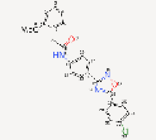 COc1ccccc1CC(=O)Nc1ccc(-c2noc(-c3ccc(Cl)cc3)n2)cc1